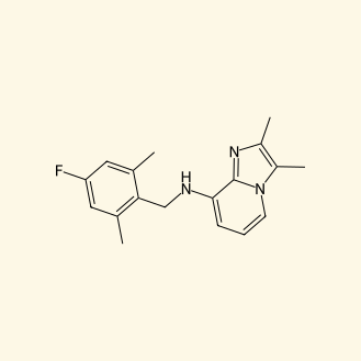 Cc1cc(F)cc(C)c1CNc1cccn2c(C)c(C)nc12